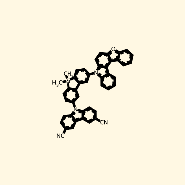 C[Si]1(C)c2ccc(-n3c4ccc(C#N)cc4c4cc(C#N)ccc43)cc2-c2cc(-n3c4ccccc4c4c5c(ccc43)oc3ccccc35)ccc21